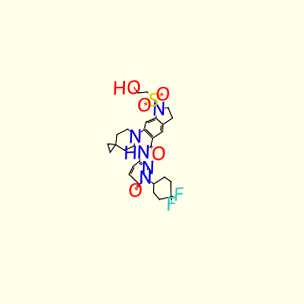 O=C(Nc1ccc(=O)n(C2CCC(F)(F)CC2)n1)c1cc2c(cc1N1CCC3(CC1)CC3)N(S(=O)(=O)CCO)CC2